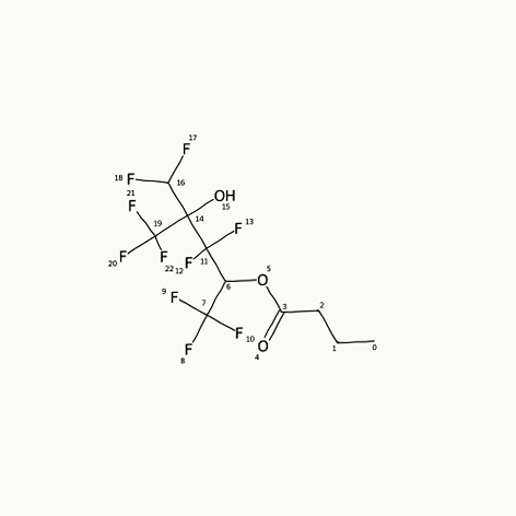 CCCC(=O)OC(C(F)(F)F)C(F)(F)C(O)(C(F)F)C(F)(F)F